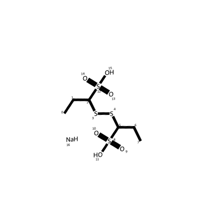 CCC(SSC(CC)S(=O)(=O)O)S(=O)(=O)O.[NaH]